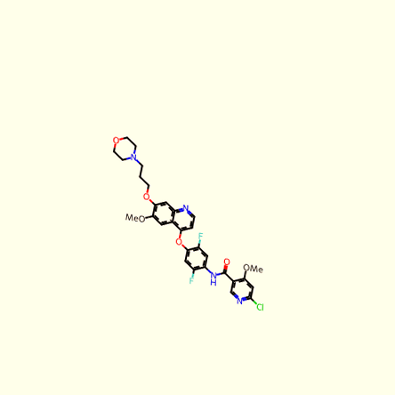 COc1cc2c(Oc3cc(F)c(NC(=O)c4cnc(Cl)cc4OC)cc3F)ccnc2cc1OCCCN1CCOCC1